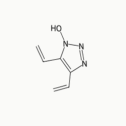 C=Cc1nnn(O)c1C=C